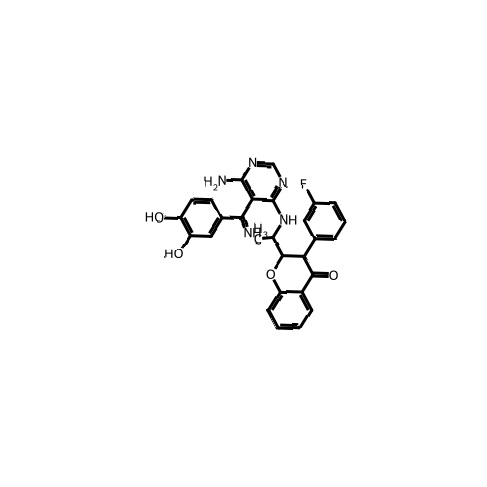 CC(Nc1ncnc(N)c1C(=N)c1ccc(O)c(O)c1)C1Oc2ccccc2C(=O)C1c1cccc(F)c1